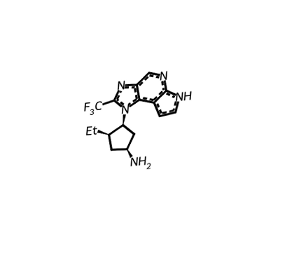 CC[C@@H]1C[C@H](N)C[C@@H]1n1c(C(F)(F)F)nc2cnc3[nH]ccc3c21